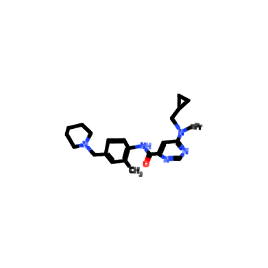 CCCN(CC1CC1)c1cc(C(=O)Nc2ccc(CN3CCCCC3)cc2C)ncn1